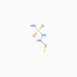 [NH]S(=O)(=O)NNC=S